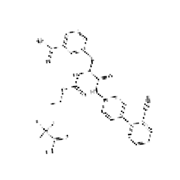 CCOC(=O)N[C@@H](Cc1cccc(C(=N)N)c1)C(=O)Nc1ccc(-c2ccccc2C#N)cc1.O=C(O)C(F)(F)F